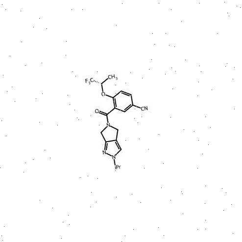 CC(C)n1cc2c(n1)CN(C(=O)c1cc(C#N)ccc1O[C@@H](C)C(F)(F)F)C2